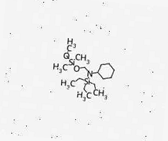 CC[Si](CC)(CC)N(CO[Si](C)(C)OC)C1CCCCC1